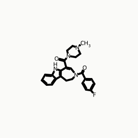 CN1CCN(C(=O)C2=CN(C(=O)c3ccc(F)cc3)CCc3c2[nH]c2ccccc32)CC1